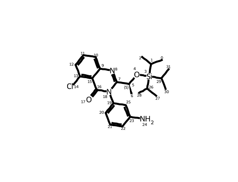 CC(C)[Si](O[C@@H](C)c1nc2cccc(Cl)c2c(=O)n1-c1cccc(N)c1)(C(C)C)C(C)C